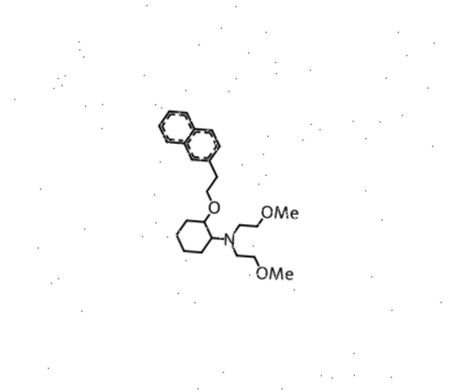 COCCN(CCOC)C1CCCCC1OCCc1ccc2ccccc2c1